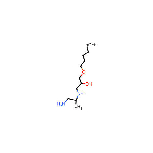 CCCCCCCCCCCCOCC(O)CNC(C)CN